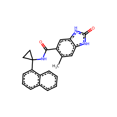 Cc1cc2[nH]c(=O)[nH]c2cc1C(=O)NC1(c2cccc3ccccc23)CC1